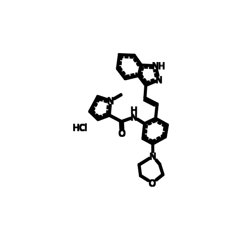 Cl.Cn1cccc1C(=O)Nc1cc(N2CCOCC2)ccc1/C=C/c1n[nH]c2ccccc12